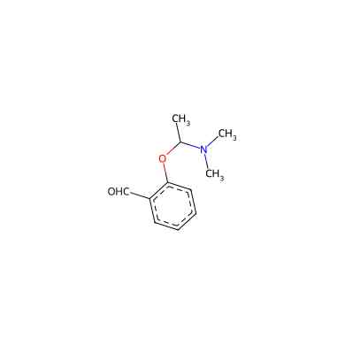 CC(Oc1ccccc1C=O)N(C)C